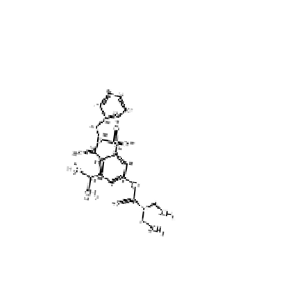 CCN(CC)C(=S)Oc1cc(C(C)C)c2c(c1)S(=O)(=O)N(Cc1ccccc1)C2=O